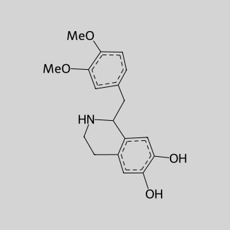 COc1ccc(CC2NCCc3cc(O)c(O)cc32)cc1OC